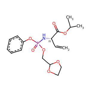 C=C[C@H](NP(=O)(OCC1OCCO1)Oc1ccccc1)C(=O)OC(C)C